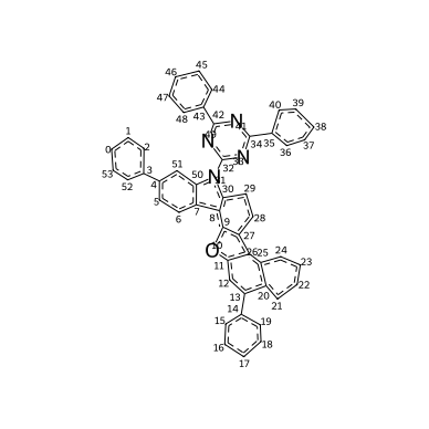 c1ccc(-c2ccc3c4c5oc6cc(-c7ccccc7)c7ccccc7c6c5ccc4n(-c4nc(-c5ccccc5)nc(-c5ccccc5)n4)c3c2)cc1